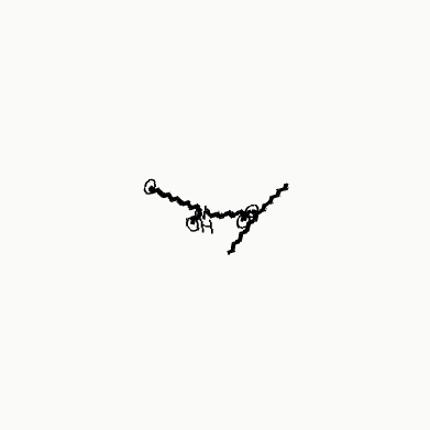 CCCCCCCCC(CCCCCCCC)OC(=O)CCCCCCCN(CCO)CCCCCCCCCC=O